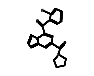 O=C(c1ccccc1F)c1cc(C(=O)N2CCCC2)cc2cccn12